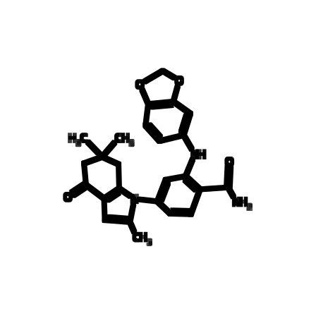 Cc1cc2c(n1-c1ccc(C(N)=O)c(Nc3ccc4c(c3)OCO4)c1)CC(C)(C)CC2=O